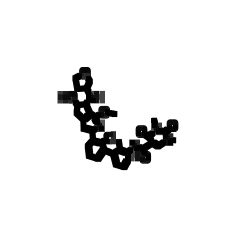 COc1nc(-c2cccc(-c3cccc(NC(=O)c4cn(C)c(=O)n(C)c4=O)c3C)c2Cl)cc2c1C(NC1CCOC1)C(O)C2